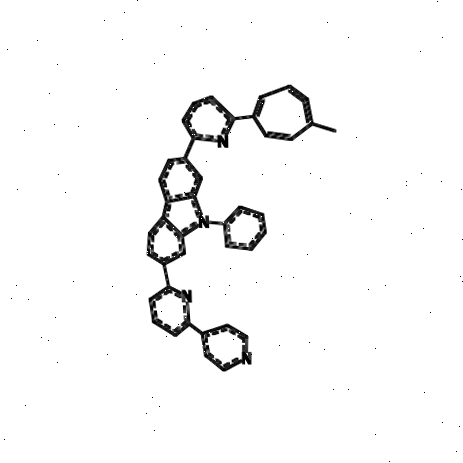 CC1=C=CC=C(c2cccc(-c3ccc4c5ccc(-c6cccc(-c7ccncc7)n6)cc5n(-c5ccccc5)c4c3)n2)C=C1